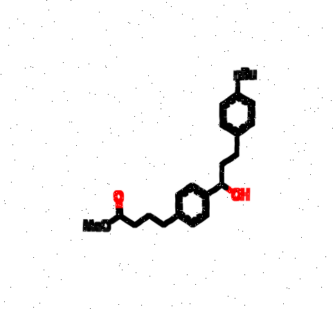 CCCCc1ccc(CCC(O)c2ccc(CCCC(=O)OC)cc2)cc1